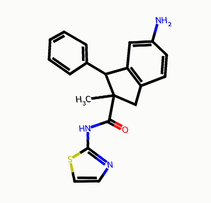 CC1(C(=O)Nc2nccs2)Cc2ccc(N)cc2C1c1ccccc1